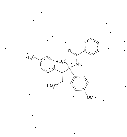 COc1ccc(C(NC(=O)c2ccccc2)(C(=O)O)C(CC(=O)O)c2ccc(C(F)(F)F)cc2)cc1